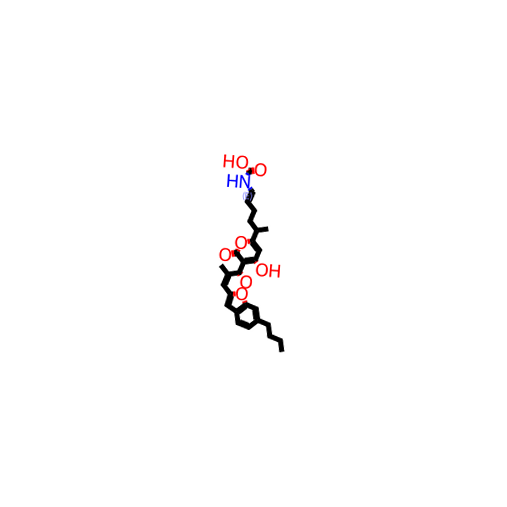 CCCCc1ccc2cc(C=C(C)C(=O)c3c(O)cc(C(C)CC/C=C/NC(=O)O)oc3=O)oc2c1